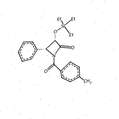 CC[Si](CC)(CC)O[C@@H]1C(=O)N(C(=O)c2ccc(C)cc2)[C@@H]1c1ccccc1